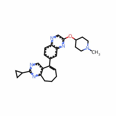 CN1CCC(Oc2cnc3ccc(C4=CCCCc5nc(C6CC6)ncc54)cc3n2)CC1